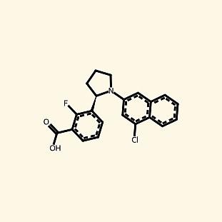 O=C(O)c1cccc([C@H]2CCCN2c2cc(Cl)c3ccccc3c2)c1F